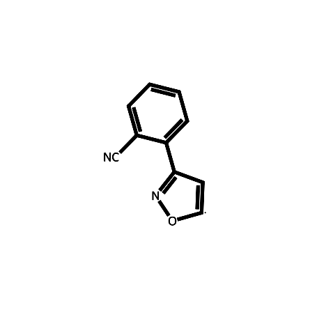 N#Cc1ccccc1-c1c[c]on1